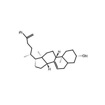 C=C(CC[C@@H](C)[C@H]1CC[C@H]2C3=CCC4C[C@@H](O)CC[C@]4(C)[C@H]3CC[C@]12C)C(C)C